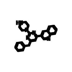 c1ccc(Cc2cc(-c3cnc4ccccc4c3)nc(N3CCNCC3)n2)cc1